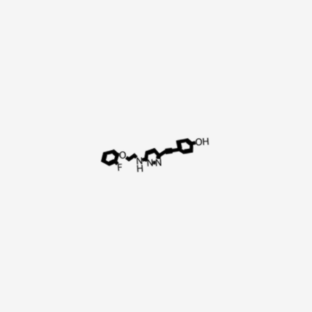 Oc1ccc(C#Cc2ccc(NCCOc3ccccc3F)nn2)cc1